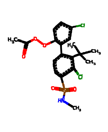 CNS(=O)(=O)c1ccc(-c2cc(Cl)ccc2OOC(C)=O)c(C(C)(C)C)c1Cl